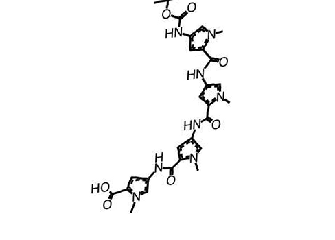 Cn1cc(NC(=O)c2cc(NC(=O)c3cc(NC(=O)c4cc(NC(=O)OC(C)(C)C)cn4C)cn3C)cn2C)cc1C(=O)O